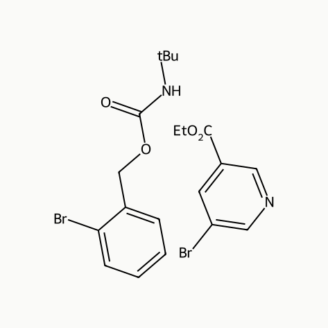 CC(C)(C)NC(=O)OCc1ccccc1Br.CCOC(=O)c1cncc(Br)c1